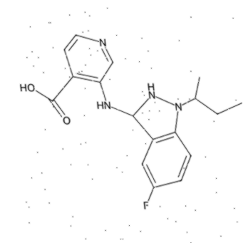 CCC(C)N1NC(Nc2cnccc2C(=O)O)c2cc(F)ccc21